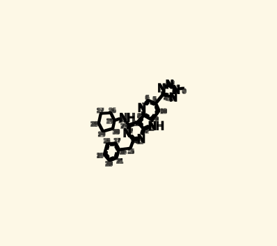 Cn1nnc(-c2cnc3c(c2)[nH]c2nc(Cc4ccccc4)nc(NC4CCCCC4)c23)n1